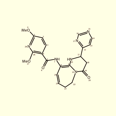 COc1ccc(C(=O)NC2=C3NC(c4ccncn4)CC(=O)N3CCC=C2)c(OC)n1